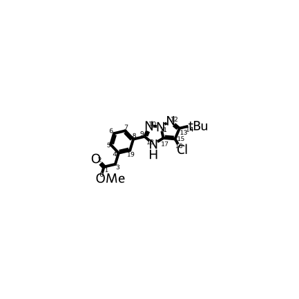 COC(=O)Cc1cccc(-c2nn3nc(C(C)(C)C)c(Cl)c3[nH]2)c1